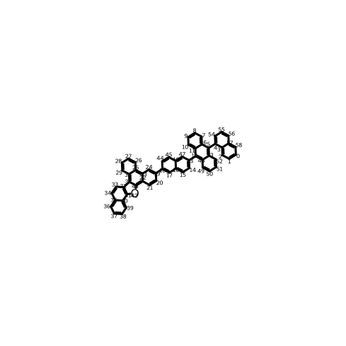 c1ccc2c(-c3c4ccccc4c(-c4ccc5cc(-c6ccc7c(c6)c6ccccc6c6c8ccc9ccccc9c8oc76)ccc5c4)c4ccccc34)cccc2c1